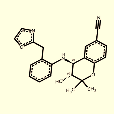 CC1(C)Oc2ccc(C#N)cc2[C@H](Nc2ccccc2Cc2ncco2)[C@H]1O